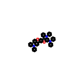 c1ccc(N(c2ccccc2)c2cc3c4c(c2)N(c2ccccc2)c2ccccc2B4c2cc4c(cc2O3)-c2ccc(N(c3ccccc3)c3ccccc3)c3cccc(c23)O4)cc1